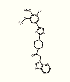 COc1c(Br)cc(-c2csc(C3CCN(C(=O)Cn4cnc5cccnc54)CC3)n2)cc1OC(F)(F)F